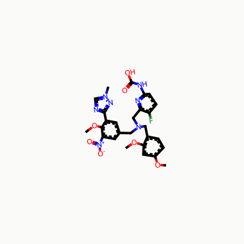 COc1ccc(CN(Cc2cc(-c3ncn(C)n3)c(OC)c([N+](=O)[O-])c2)Cc2nc(NC(=O)O)ccc2F)c(OC)c1